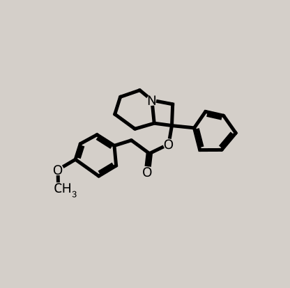 COc1ccc(CC(=O)OC2(c3ccccc3)CN3CCCCC32)cc1